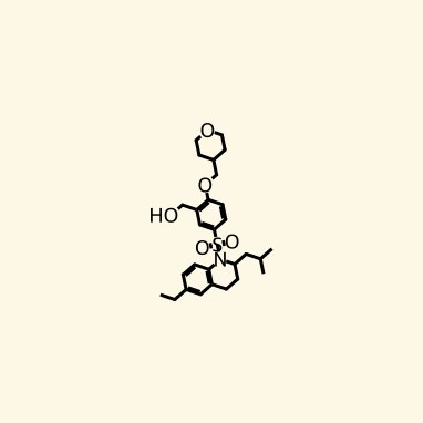 CCc1ccc2c(c1)CCC(CC(C)C)N2S(=O)(=O)c1ccc(OCC2CCOCC2)c(CO)c1